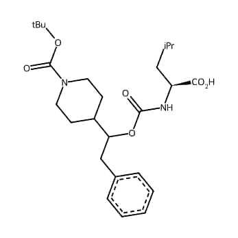 CC(C)C[C@H](NC(=O)OC(Cc1ccccc1)C1CCN(C(=O)OC(C)(C)C)CC1)C(=O)O